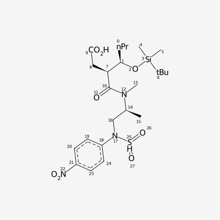 CCC[C@@H](O[Si](C)(C)C(C)(C)C)[C@H](CC(=O)O)C(=O)N(C)[C@@H](C)CN(c1ccc([N+](=O)[O-])cc1)[SH](=O)=O